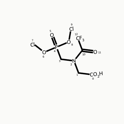 O=C(O)CN(CP(=O)(OCl)OCl)C(=O)C(F)(F)F